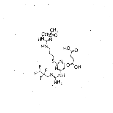 CNC(=NS(C)(=O)=O)NCCCSc1nccc(NC(N)=NCC(F)(F)C(F)F)n1.O=C(O)C=CC(=O)O